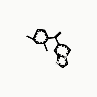 C=C(c1ccn2ccnc2c1)c1ccc(C)cc1C